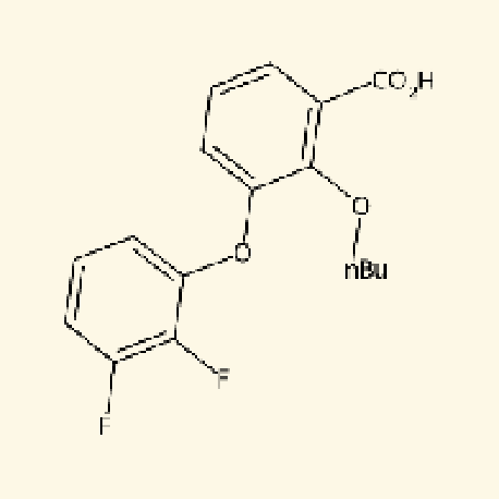 CCCCOc1c(Oc2cccc(F)c2F)cccc1C(=O)O